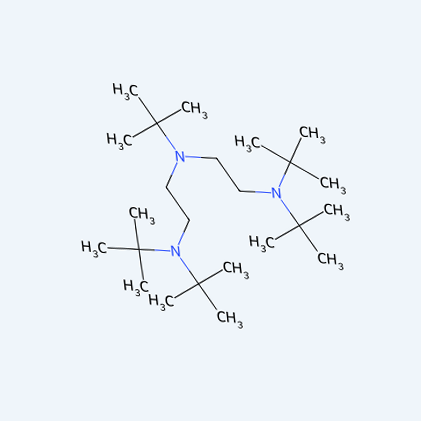 CC(C)(C)N(CCN(C(C)(C)C)C(C)(C)C)CCN(C(C)(C)C)C(C)(C)C